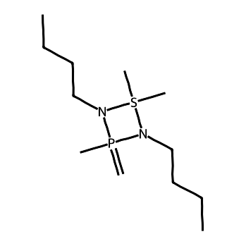 C=P1(C)N(CCCC)S(C)(C)N1CCCC